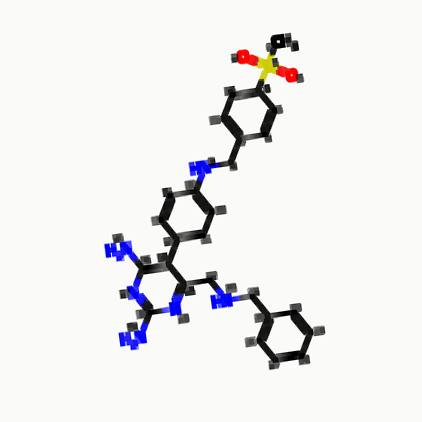 CS(=O)(=O)c1ccc(CNc2ccc(-c3c(N)nc(N)nc3CNCc3ccccc3)cc2)cc1